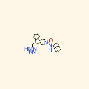 O=C(NC1C2CC3CC(C2)CC1C3)N1CCC2(CC1)CC(Cc1nnn[nH]1)c1ccccc12